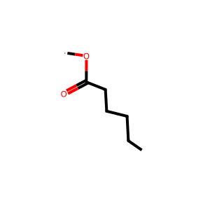 [CH2]OC(=O)CCCCC